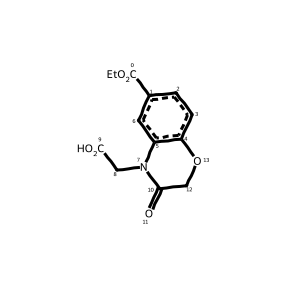 CCOC(=O)c1ccc2c(c1)N(CC(=O)O)C(=O)CO2